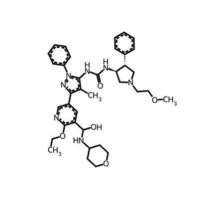 CCOc1ncc(-c2nn(-c3ccccc3)c(NC(=O)N[C@@H]3CN(CCOC)C[C@H]3c3ccccc3)c2C)cc1C(O)NC1CCOCC1